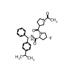 CC(=O)N1CCC(C(=O)N2C[C@H](F)C[C@H]2C(=O)N[C@@H](c2ccccc2)c2ccc(C(C)C)cc2)C1